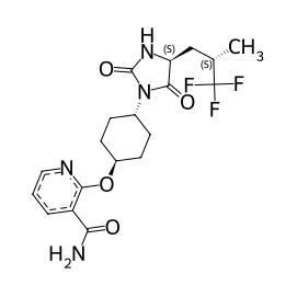 C[C@@H](C[C@@H]1NC(=O)N([C@H]2CC[C@H](Oc3ncccc3C(N)=O)CC2)C1=O)C(F)(F)F